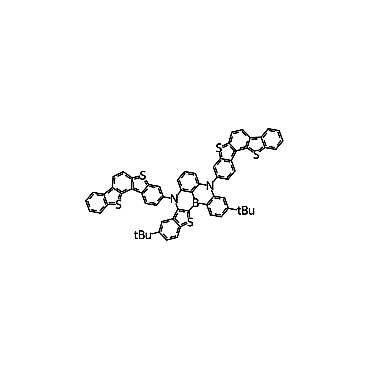 CC(C)(C)c1ccc2c(c1)N(c1ccc3c(c1)sc1ccc4c5ccccc5sc4c13)c1cccc3c1B2c1sc2ccc(C(C)(C)C)cc2c1N3c1ccc2c(c1)sc1ccc3c4ccccc4sc3c12